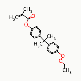 C=C(C)C(=O)Oc1ccc(C(C)(C)c2ccc(OOCC)cc2)cc1